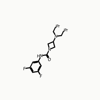 CC(C)CN(CC(C)C)C1CN(C(=O)Nc2cc(F)cc(F)c2)C1